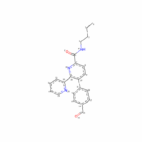 CCCCNC(=O)c1ccc(-c2ccc(C=O)cc2)c(-c2ccccn2)n1